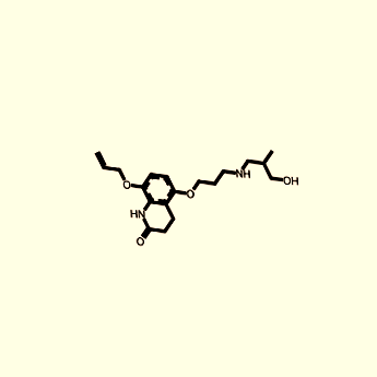 C=CCOc1ccc(OCCCNCC(C)CO)c2c1NC(=O)CC2